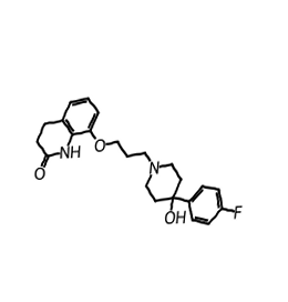 O=C1CCc2cccc(OCCCN3CCC(O)(c4ccc(F)cc4)CC3)c2N1